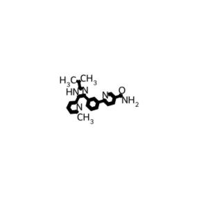 Cc1cccc(-c2[nH]c(C(C)C)nc2-c2cccc(-c3ccc(C(N)=O)cn3)c2)n1